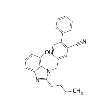 CCCCc1nc2cccc(O)c2n1Cc1ccc(-c2ccccc2)c(C#N)c1